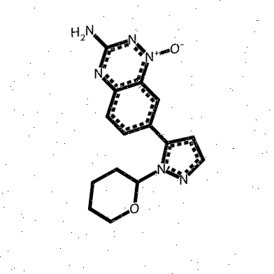 Nc1nc2ccc(-c3ccnn3C3CCCCO3)cc2[n+]([O-])n1